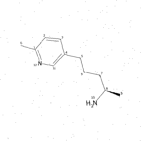 Cc1ccc(CCC[C@@H](C)N)cn1